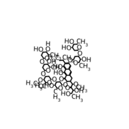 CCC(C)c1c(O[C@H]2C[C@@H](O[C@H]3C[C@@H](O)[C@H](O)[C@@H](C)O3)[C@H](O)[C@@H](C)O2)cc2cc3c(c(O)c2c1O)C(=O)C(O[C@H]1C[C@@H](O[C@H]2C[C@@H](O[C@H]4C[C@@H](O[C@H]5C[C@@H](O)[C@H](O)[C@@H](C)O5)[C@H](O)[C@@H](C)O4)[C@@H](OC(C)=O)[C@@H](C)O2)[C@H](O)[C@@H](C)O1)C(C(OC)C(=O)C(O)C(C)O)C3